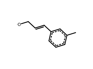 Cc1cccc(/C=C/C[O])c1